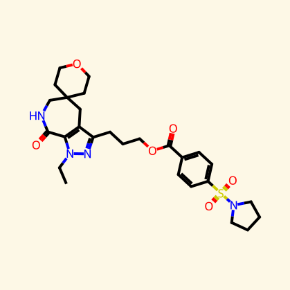 CCn1nc(CCCOC(=O)c2ccc(S(=O)(=O)N3CCCC3)cc2)c2c1C(=O)NCC1(CCOCC1)C2